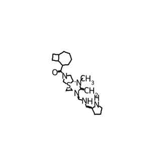 C=C(/N=C\N/C=C1/CCCN1)N(C)[C@H]1CN(C(=O)C2CCCCC3CCC32)CS12CC2